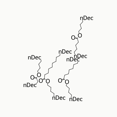 CCCCCCCCCCCCCCCCC(=O)OCCCCCCCCCCCCCC.CCCCCCCCCCCCCCCCCCC(=O)OCCCCCCCCCCCCCC.CCCCCCCCCCCCCCOC(=O)CCCCCCCCCCC.CCCCCCCCCCCCCCOC(=O)CCCCCCCCCCCCCC